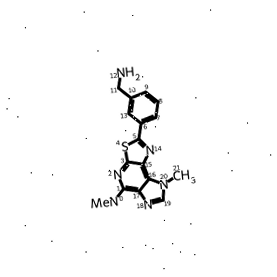 CNc1nc2sc(-c3cccc(CN)c3)nc2c2c1ncn2C